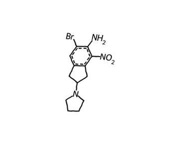 Nc1c(Br)cc2c(c1[N+](=O)[O-])CC(N1CCCC1)C2